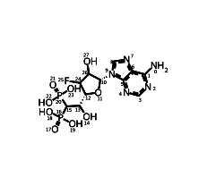 Nc1ncnc2c1ncn2[C@@H]1O[C@H](C(O)C(P(=O)(O)O)P(=O)(O)O)C(F)C1O